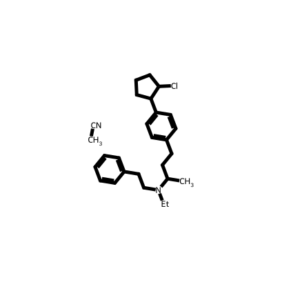 CC#N.CCN(CCc1ccccc1)C(C)CCc1ccc(C2CCCC2Cl)cc1